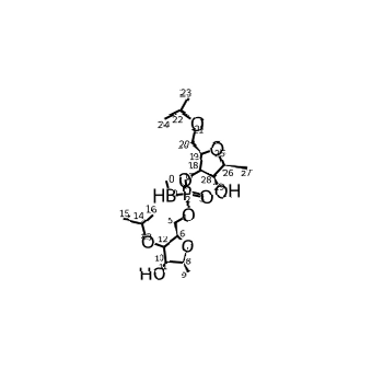 CBP(=O)(OC[C@H]1O[C@@H](C)[C@@H](O)C1OC(C)C)OC1[C@@H](COC(C)C)O[C@@H](C)[C@H]1O